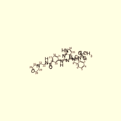 CN(c1ccccc1CNc1nc(Nc2cccc(C(=O)NCCN3CCOCC3)c2)nc2[nH]ccc12)S(C)(=O)=O